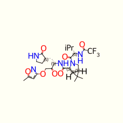 Cc1cc(OCC(=O)[C@H](C[C@@H]2CCNC2=O)NC(=O)[C@@H]2[C@@H]3[C@H](CN2C(=O)[C@@H](NC(=O)C(F)(F)F)C(C)C)C3(C)C)no1